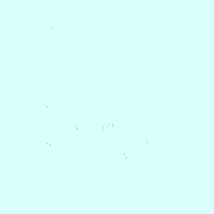 CN(C)CCCCNc1nc2c(F)c(F)cc(/C(=N/O)Nc3ccc(F)c(Cl)c3)c2[nH]1